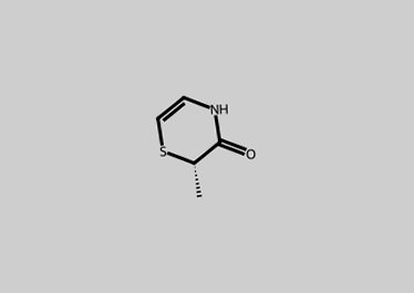 C[C@@H]1SC=CNC1=O